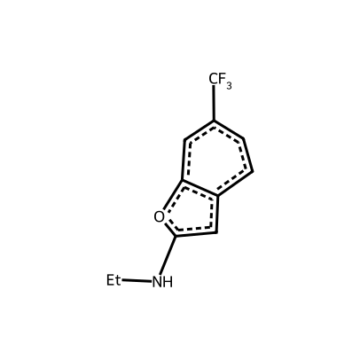 CCNc1cc2ccc(C(F)(F)F)cc2o1